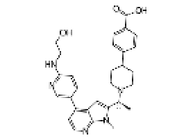 C[C@@H](c1cc2c(-c3ccc(NCCO)nc3)ccnc2n1C)N1CCC(c2ccc(C(=O)O)cc2)CC1